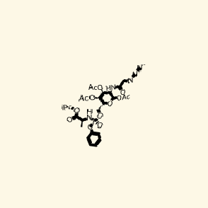 CC(=O)OC1O[C@H](COP(=O)(N[C@@H](C)C(=O)OC(C)C)Oc2ccccc2)[C@@H](OC(C)=O)[C@H](OC(C)=O)[C@@H]1NC(=O)CN=[N+]=[N-]